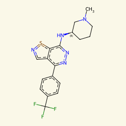 CN1CCC[C@@H](Nc2nnc(-c3ccc(C(F)(F)F)cc3)c3cnsc23)C1